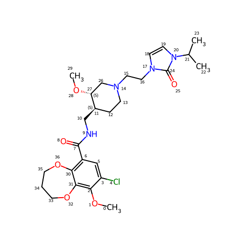 COc1c(Cl)cc(C(=O)NC[C@@H]2CCN(CCn3ccn(C(C)C)c3=O)C[C@H]2OC)c2c1OCCCO2